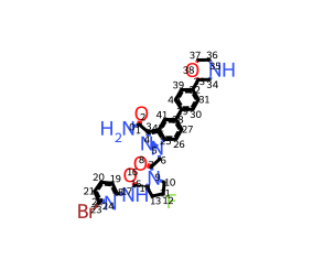 NC(=O)c1nn(CC(=O)N2C[C@H](F)C[C@H]2C(=O)Nc2cccc(Br)n2)c2ccc(-c3ccc(C4CNCCO4)cc3)cc12